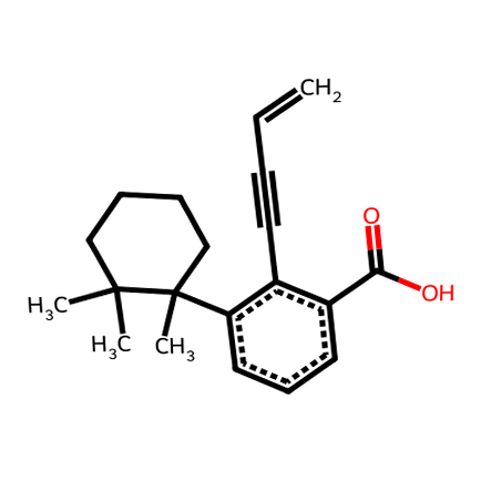 C=CC#Cc1c(C(=O)O)cccc1C1(C)CCCCC1(C)C